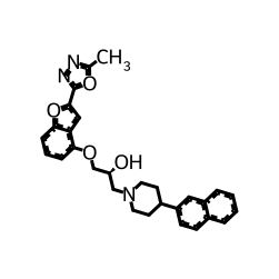 Cc1nnc(-c2cc3c(OC[C@@H](O)CN4CCC(c5ccc6ccccc6c5)CC4)cccc3o2)o1